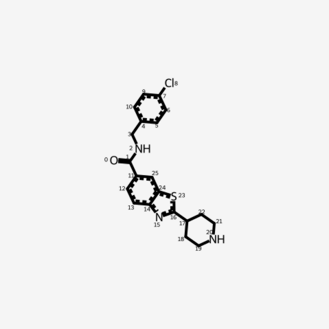 O=C(NCc1ccc(Cl)cc1)c1ccc2nc(C3CCNCC3)sc2c1